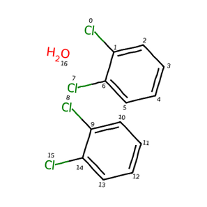 Clc1ccccc1Cl.Clc1ccccc1Cl.O